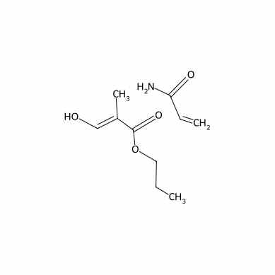 C=CC(N)=O.CCCOC(=O)C(C)=CO